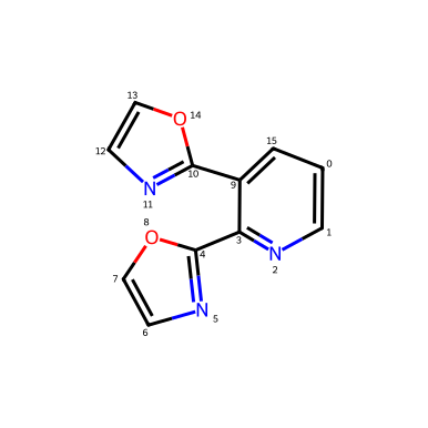 c1cnc(-c2ncco2)c(-c2ncco2)c1